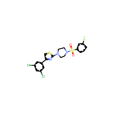 O=S(=O)(c1cccc(F)c1)N1CCN(c2nc(-c3cc(Cl)cc(Cl)c3)cs2)CC1